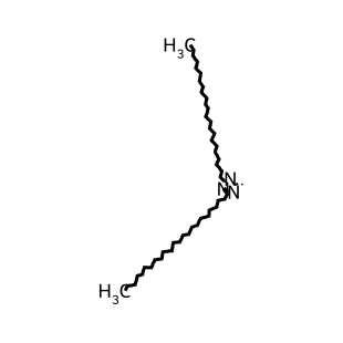 CCCCCCCCCCCCCCCCCCCCCCCc1n[c]nc(CCCCCCCCCCCCCCCCCCCCCCC)n1